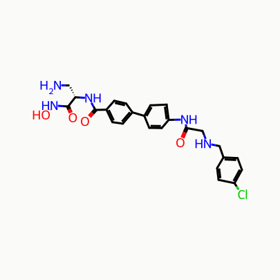 NC[C@H](NC(=O)c1ccc(-c2ccc(NC(=O)CNCc3ccc(Cl)cc3)cc2)cc1)C(=O)NO